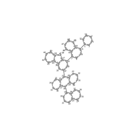 c1ccc(-c2ccc(-c3cc(-c4c5ccccc5c(-c5cccc6ccccc56)c5ccccc45)cc4c3sc3ccccc34)c3ccccc23)cc1